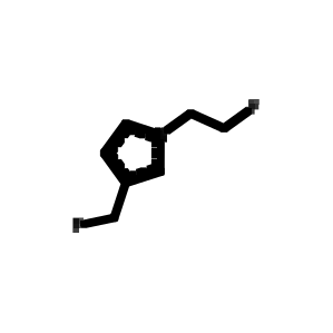 FCCn1ccc(CF)c1